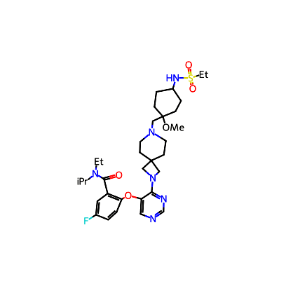 CCN(C(=O)c1cc(F)ccc1Oc1cncnc1N1CC2(CCN(CC3(OC)CCC(NS(=O)(=O)CC)CC3)CC2)C1)C(C)C